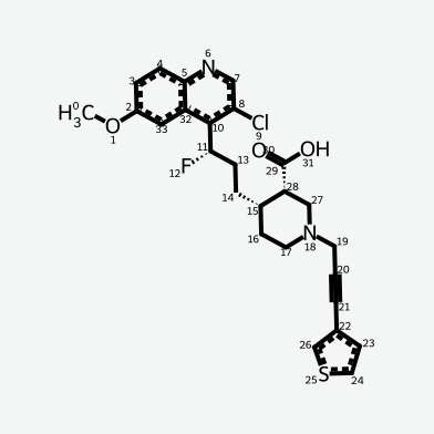 COc1ccc2ncc(Cl)c([C@@H](F)CC[C@H]3CCN(CC#Cc4ccsc4)C[C@H]3C(=O)O)c2c1